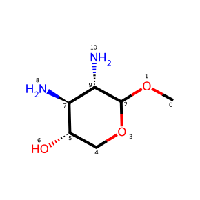 COC1OC[C@H](O)[C@@H](N)[C@@H]1N